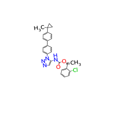 C[C@@H](OC(=O)Nc1cnnn1-c1ccc(-c2ccc(C3(C)CC3)cc2)cc1)c1ccccc1Cl